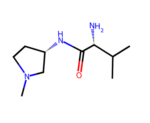 CC(C)[C@@H](N)C(=O)N[C@H]1CCN(C)C1